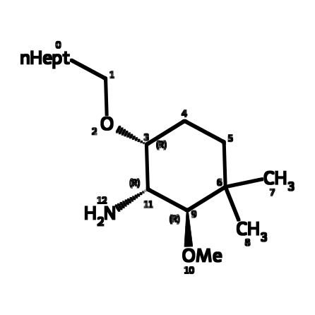 CCCCCCCCO[C@@H]1CCC(C)(C)[C@@H](OC)[C@@H]1N